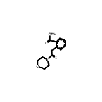 COC(=O)c1ccccc1CC(=O)N1CCOCC1